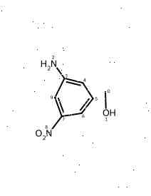 CO.Nc1cccc([N+](=O)[O-])c1